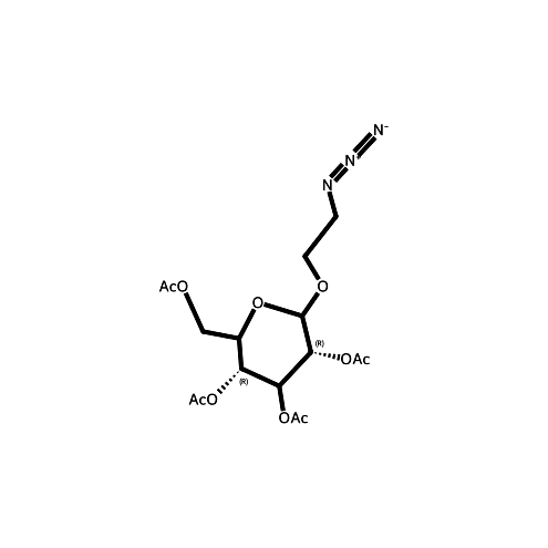 CC(=O)OCC1OC(OCCN=[N+]=[N-])[C@H](OC(C)=O)C(OC(C)=O)[C@@H]1OC(C)=O